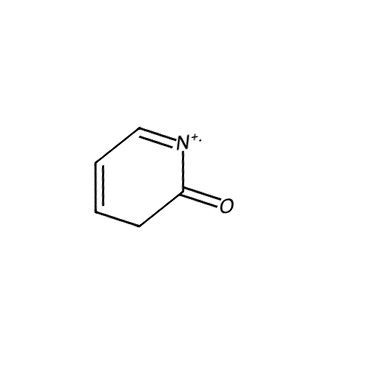 O=C1CC=CC=[N+]1